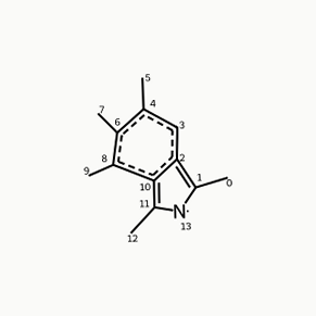 CC1=c2cc(C)c(C)c(C)c2=C(C)[N]1